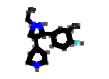 CC(C)Cn1cc(-c2ccncc2)c(-c2ccc(F)c(C#N)c2)n1